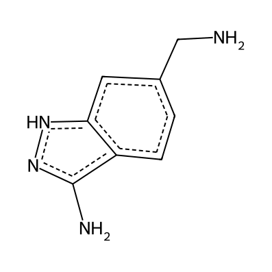 NCc1ccc2c(N)n[nH]c2c1